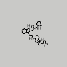 CC(C)(C)OC(=O)NCCc1c(CC(=O)Nc2ccccc2)[nH]c2ccccc12